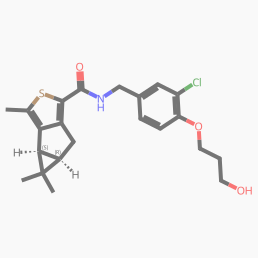 Cc1sc(C(=O)NCc2ccc(OCCCO)c(Cl)c2)c2c1[C@H]1[C@@H](C2)C1(C)C